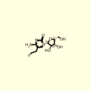 Nc1nc(=O)n([C@@H]2O[C@H](CO)[C@@H](O)[C@H]2O)cc1CCF